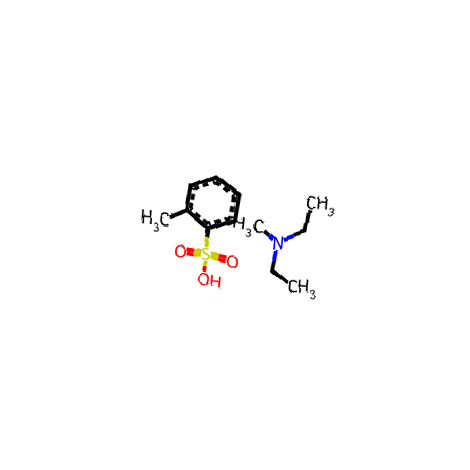 CCN(C)CC.Cc1ccccc1S(=O)(=O)O